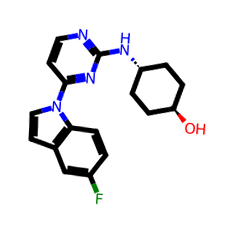 O[C@H]1CC[C@H](Nc2nccc(-n3ccc4cc(F)ccc43)n2)CC1